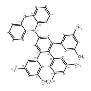 Cc1cc(C)cc(-c2cc(N3c4ccccc4Oc4ccccc43)cc(-c3cc(C)cc(C)c3)c2-c2cc(C)cc(C)c2)c1